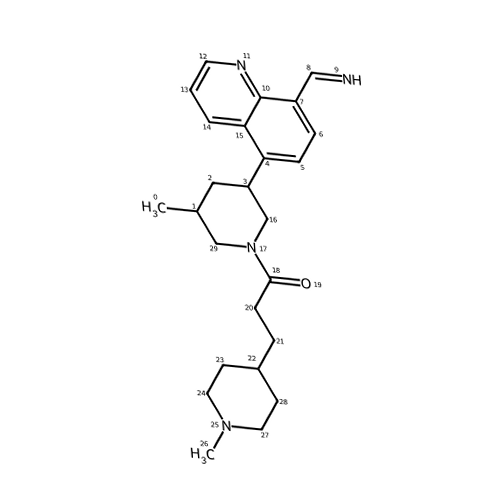 CC1CC(c2ccc(C=N)c3ncccc23)CN(C(=O)CCC2CCN(C)CC2)C1